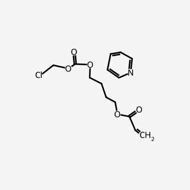 C=CC(=O)OCCCCOC(=O)OCCl.c1ccncc1